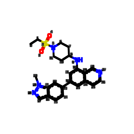 CCS(=O)(=O)N1CCC(Nc2cc(-c3ccc4cnn(C)c4c3)cc3ccncc23)CC1